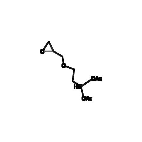 CC(=O)O[SiH](CCOCC1CO1)OC(C)=O